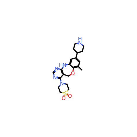 Cc1cc(C2CCNCC2)cc2c1OCc1c(ncnc1N1CCS(=O)(=O)CC1)N2